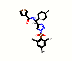 CC(C)c1cc(C(C)C)c(S(=O)(=O)n2cc([C@@](C)(NC(=O)c3ccsc3)[C@H]3CC[C@H](C)CC3)nn2)c(C(C)C)c1